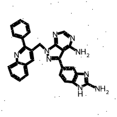 Nc1nc2cc(-c3nn(Cc4cc5ccccc5nc4-c4ccccc4)c4ncnc(N)c34)ccc2[nH]1